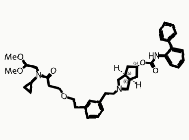 COC(CN(C(=O)CCOCCc1cccc(CCN2C[C@H]3C[C@H](OC(=O)Nc4ccccc4-c4ccccc4)C[C@H]3C2)c1)C1CC1)OC